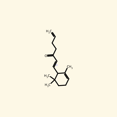 C=CCCC(=O)/C=C/C1C(C)=CCCC1(C)C